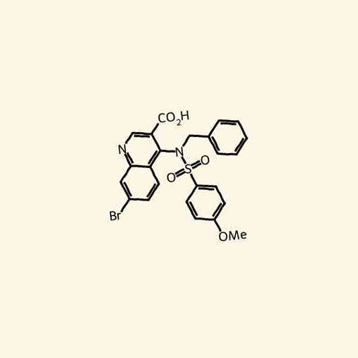 COc1ccc(S(=O)(=O)N(Cc2ccccc2)c2c(C(=O)O)cnc3cc(Br)ccc23)cc1